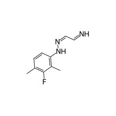 Cc1ccc(N/N=C\C=N)c(C)c1F